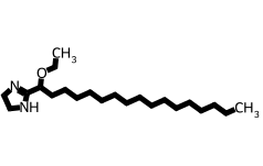 CCCCCCCCCCCCCCCCC(OCC)C1=NCCN1